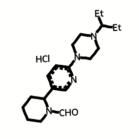 CCC(CC)N1CCN(c2ccc(C3CCCCN3C=O)cn2)CC1.Cl